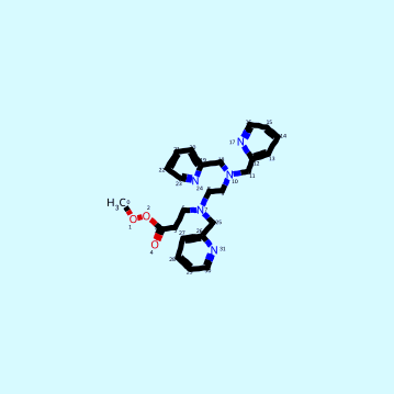 COOC(=O)CCN(CCN(Cc1ccccn1)Cc1ccccn1)Cc1ccccn1